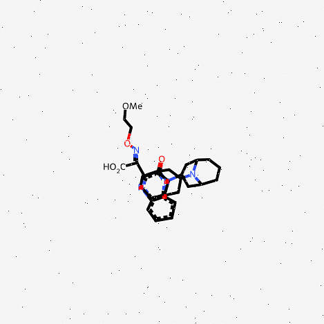 COCCO/N=C(\C(=O)O)c1nc2ccccc2n(C2CC3CCCC(C2)N3C2CC3CCCC(C3)C2)c1=O